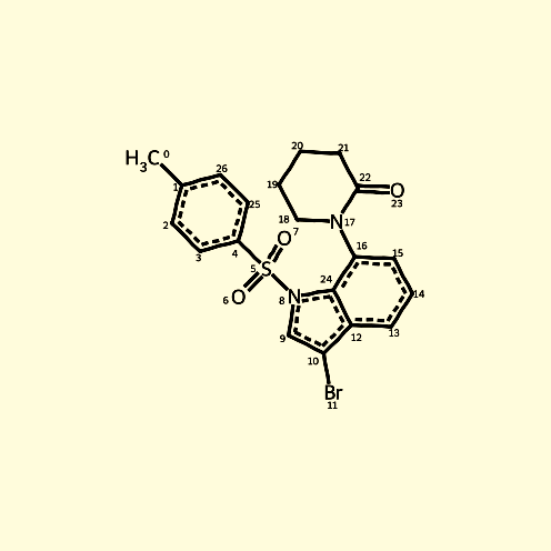 Cc1ccc(S(=O)(=O)n2cc(Br)c3cccc(N4CCCCC4=O)c32)cc1